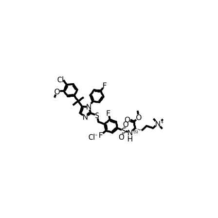 COC(=O)[C@H](CCC[N+](C)(C)C)NS(=O)(=O)c1cc(F)c(CSc2ncc(C(C)(C)c3ccc(Cl)c(OC)c3)n2-c2ccc(F)cc2)c(F)c1.[Cl-]